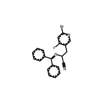 N#CC(Cc1cnc(Br)cc1F)N=C(c1ccccc1)c1ccccc1